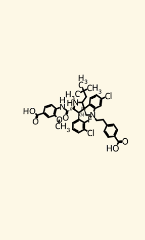 COc1cc(C(=O)O)ccc1NC(=O)[C@@H]1NC(CC(C)(C)C)[C@@]2(CN(CCc3ccc(C(=O)O)cc3)c3cc(Cl)ccc32)[C@H]1c1cccc(Cl)c1F